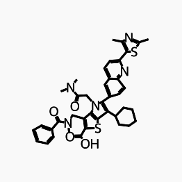 Cc1nc(C)c(-c2ccc3cc(-c4c(C5CCCCC5)c5sc(C(=O)O)c(CN(C)C(=O)c6ccccc6)c5n4CC(=O)N(C)C)ccc3n2)s1